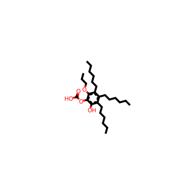 CCCCCCc1c(O)c(OC(=O)O)c(OCCC)c(CCCCCC)c1CCCCCC